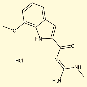 CNC(N)=NC(=O)c1cc2cccc(OC)c2[nH]1.Cl